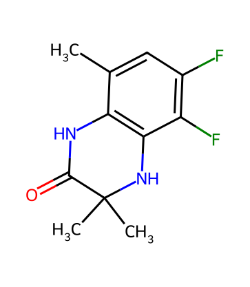 Cc1cc(F)c(F)c2c1NC(=O)C(C)(C)N2